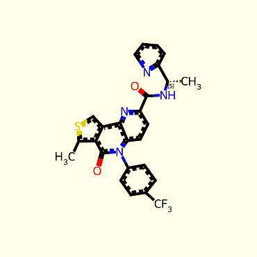 Cc1scc2c1c(=O)n(-c1ccc(C(F)(F)F)cc1)c1ccc(C(=O)N[C@@H](C)c3ccccn3)nc21